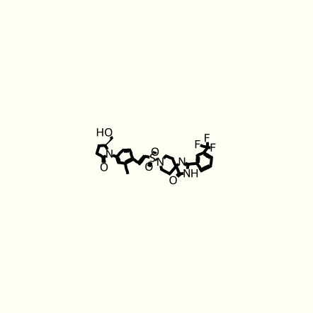 Cc1cc(N2C(=O)CC[C@H]2CO)ccc1/C=C/S(=O)(=O)N1CCC2(CC1)N=C(c1cccc(C(F)(F)F)c1)NC2=O